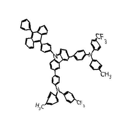 Cc1ccc(N(c2ccc(-c3ccc4c(c3)c3cc(-c5ccc(N(c6ccc(C)cc6)c6ccc(C(F)(F)F)cc6)cc5)ccc3n4-c3ccc(-c4c5ccccc5c(-c5ccccc5)c5ccccc45)cc3)cc2)c2ccc(C(F)(F)F)cc2)cc1